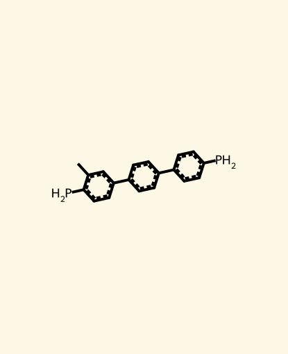 Cc1cc(-c2ccc(-c3ccc(P)cc3)cc2)ccc1P